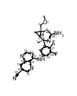 COC[C@]12C[C@H]1[C@@](C)(c1cc(Nc3ncnc4cc(C#N)cnc34)cc(F)c1F)N=C(N)S2